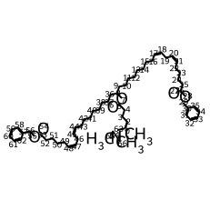 CC(CCCC(=O)OC(CCCCCCCC/C=C\C/C=C\CCCCC(=O)OCc1ccccc1)CCCCCCCC/C=C\C/C=C\CCCCC(=O)OCc1ccccc1)CN(C)C